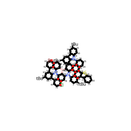 CC(C)(C)c1ccc(N2c3cc(-c4c(-c5cccc6c5sc5ccccc56)cccc4-n4c5ccc(C(C)(C)C)cc5c5cc(C(C)(C)C)ccc54)ccc3B3c4ccc(Br)cc4N(c4c(-c5ccccc5)cc(C(C)(C)C)cc4-c4ccccc4)c4cc(Cl)cc2c43)c(-c2ccccc2)c1